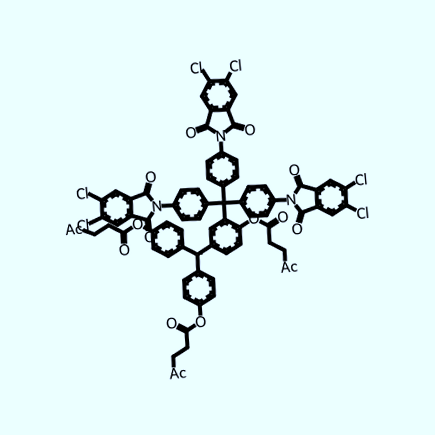 CC(=O)CCC(=O)Oc1ccc([C](c2ccc(OC(=O)CCC(C)=O)cc2)c2ccc(OC(=O)CCC(C)=O)c(C(c3ccc(N4C(=O)c5cc(Cl)c(Cl)cc5C4=O)cc3)(c3ccc(N4C(=O)c5cc(Cl)c(Cl)cc5C4=O)cc3)c3ccc(N4C(=O)c5cc(Cl)c(Cl)cc5C4=O)cc3)c2)cc1